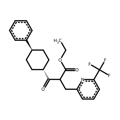 CCOC(=O)C(Cc1cccc(C(F)(F)F)n1)C(=O)[C@H]1CC[C@H](c2ccccc2)CC1